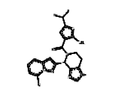 Cn1nc(C(F)F)cc1C(=O)N1CCc2[nH]cnc2[C@H]1c1cc2cccc(Cl)n2n1